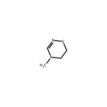 CN1C=NSCC1